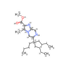 CCC[CH2][Sn]([CH2]CCC)([CH2]CCC)[c]1cn2c(C)c(C(=O)OC)nc2cn1